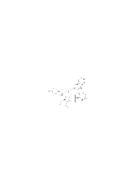 O=C(c1[nH]c2c(F)cccc2c1S(=O)(=O)Oc1ccc(Cl)cc1)c1[nH]c2c(F)cccc2c1S(=O)(=O)Oc1ccc(Cl)cc1